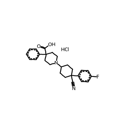 Cl.N#CC1(c2ccc(F)cc2)CCC(N2CCC(C(=O)O)(c3ccccc3)CC2)CC1